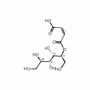 O=C(O)/C=C\C(=O)O[C@@H](CO)[C@@H](O)[C@H](O)[C@H](O)CO